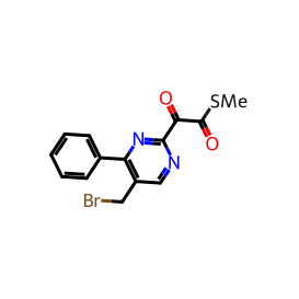 CSC(=O)C(=O)c1ncc(CBr)c(-c2ccccc2)n1